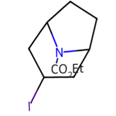 CCOC(=O)N1C2CCC1CC(I)C2